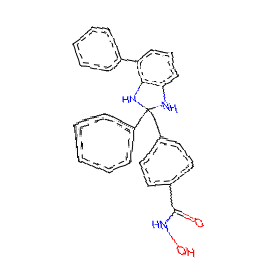 O=C(NO)c1ccc(C2(c3ccccc3)Nc3cccc(-c4ccccc4)c3N2)cc1